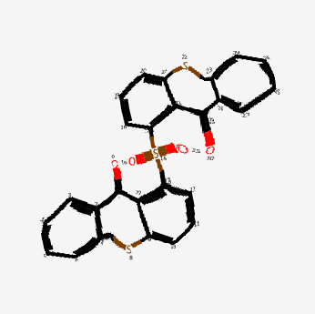 O=c1c2ccccc2sc2cccc(S(=O)(=O)c3cccc4sc5ccccc5c(=O)c34)c12